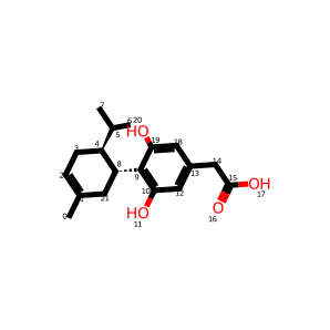 CC1=CC[C@@H](C(C)C)[C@H](c2c(O)cc(CC(=O)O)cc2O)C1